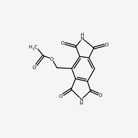 CC(=O)OCc1c2c(=O)[nH]c(=O)c2cc2c(=O)[nH]c(=O)c12